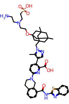 Cc1c(-c2ccc(N3CCc4cccc(C(=O)Nc5nc6ccccc6s5)c4C3)nc2C(=O)O)cnn1CC12CC3(C)CC(C)(C1)CC(OCCN(CCN)CCS(=O)(=O)O)(C3)C2